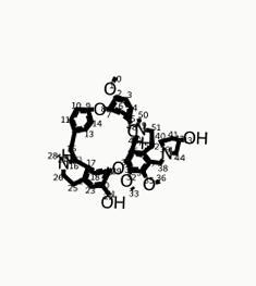 COc1ccc2cc1Oc1ccc(cc1)C[C@H]1c3cc(c(CO)cc3CCN1C)Oc1c(OC)c(OC)c(CN3CCC(O)C3)c3c1[C@H](C2)N(C)CC3